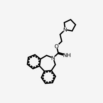 N=C(OCCN1CCCC1)N1Cc2ccccc2-c2ccccc2C1